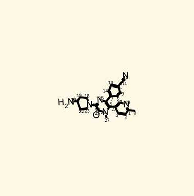 Cc1ccc(-c2c(-c3ccc(C#N)cc3)nc(N3CCC(N)CC3)c(=O)n2C)cn1